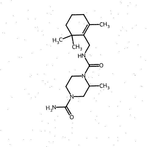 CC1=C(CNC(=O)N2CCN(C(N)=O)CC2C)C(C)(C)CCC1